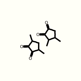 CC1CC(=O)C(=O)C1C.CC1CC(C)C(=O)C1=O